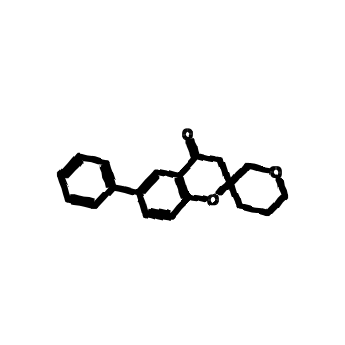 O=C1CC2(CCCOC2)Oc2ccc(-c3ccccc3)cc21